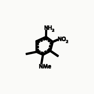 CNc1c(C)cc(N)c([N+](=O)[O-])c1C